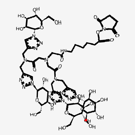 O=C(CN(CC(=O)N(Cc1cn([C@@H]2O[C@@H](CO)[C@H](O)[C@@H](O)[C@H]2O)nn1)Cc1cn([C@H]2O[C@H](CO)[C@@H](O)[C@H](O)[C@@H]2O)nn1)CC(=O)N(Cc1cn([C@H]2O[C@H](CO)[C@@H](O)[C@H](O)[C@@H]2O)nn1)Cc1cn([C@H]2O[C@H](CO)[C@@H](O)[C@H](O)[C@@H]2O)nn1)NCCCCCC(=O)ON1C(=O)CCC1=O